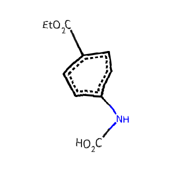 CCOC(=O)c1ccc(NC(=O)O)cc1